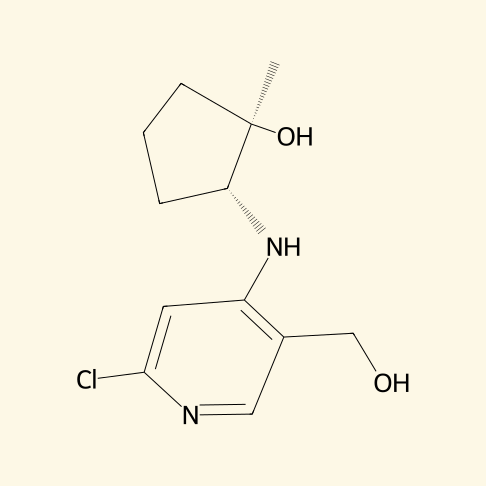 C[C@@]1(O)CCC[C@H]1Nc1cc(Cl)ncc1CO